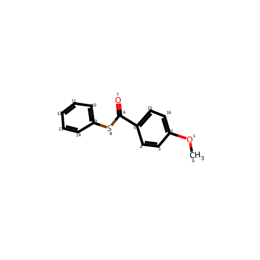 COc1ccc(C(=O)Sc2ccccc2)cc1